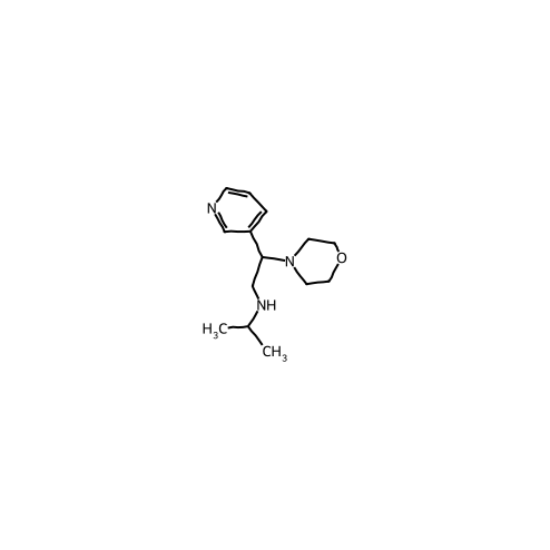 CC(C)NCC(c1cccnc1)N1CCOCC1